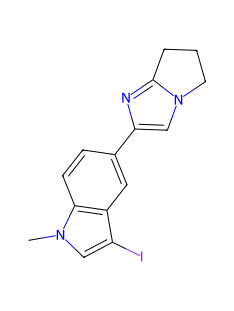 Cn1cc(I)c2cc(-c3cn4c(n3)CCC4)ccc21